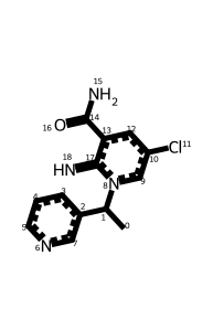 CC(c1cccnc1)n1cc(Cl)cc(C(N)=O)c1=N